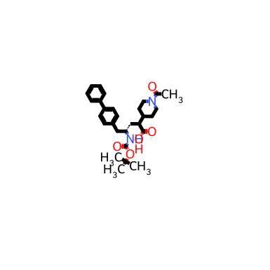 CC(=O)N1CCC(C(C[C@@H](Cc2ccc(-c3ccccc3)cc2)NC(=O)OC(C)(C)C)C(=O)O)CC1